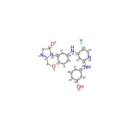 O=C1CN=C2COc3ccc(Nc4cc(Nc5cccc(O)c5)ncc4F)cc3N12